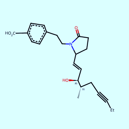 CCC#CC[C@H](C)[C@@H](O)C=CC1CCC(=O)N1CCc1ccc(C(=O)O)cc1